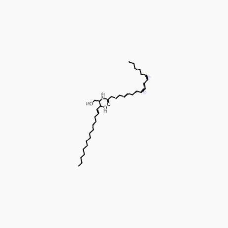 CCCCC/C=C\C/C=C\CCCCCCCC(=O)NC(CO)C(O)C=CCCCCCCCCCCCCC